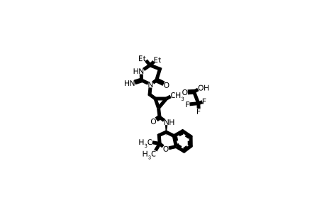 CCC1(CC)CC(=O)N(CC2C(C)C2C(=O)N[C@@H]2CC(C)(C)Oc3ccccc32)C(=N)N1.O=C(O)C(F)(F)F